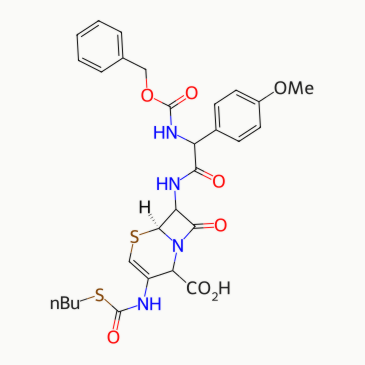 CCCCSC(=O)NC1=CS[C@H]2C(NC(=O)C(NC(=O)OCc3ccccc3)c3ccc(OC)cc3)C(=O)N2C1C(=O)O